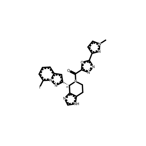 Cn1ccc(-c2nnc(C(=O)N3CCc4[nH]cnc4[C@@H]3c3cc4cccc(I)n4n3)o2)n1